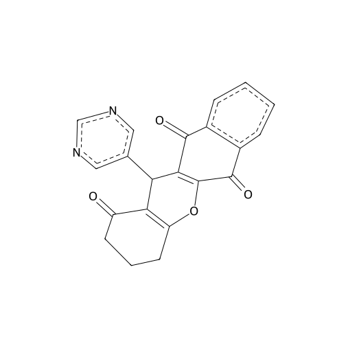 O=C1CCCC2=C1C(c1cncnc1)C1=C(O2)C(=O)c2ccccc2C1=O